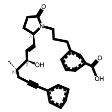 C[C@@H](CC#Cc1ccccc1)[C@H](O)C=C[C@H]1CCC(=O)N1CCCc1cccc(C(=O)O)c1